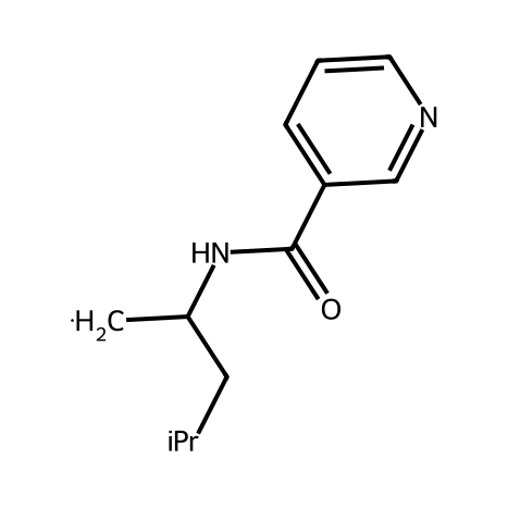 [CH2]C(CC(C)C)NC(=O)c1cccnc1